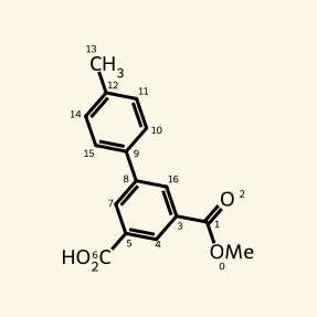 COC(=O)c1cc(C(=O)O)cc(-c2ccc(C)cc2)c1